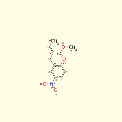 CC=C(Cc1cccc([N+](=O)[O-])c1)C(=O)OC